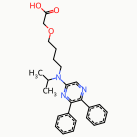 CC(C)N(CCCCOCC(=O)O)c1cnc(-c2ccccc2)c(-c2ccccc2)n1